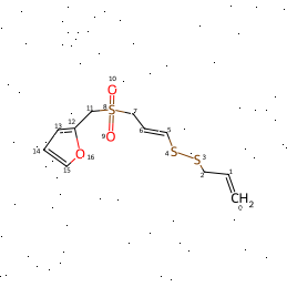 C=CCSSC=CCS(=O)(=O)Cc1ccco1